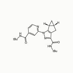 CC(C)(C)NC(=O)c1ccnc(-n2nc(C(=O)NC(C)(C)C)c3c2[C@@H]2C[C@@H]2C3)c1